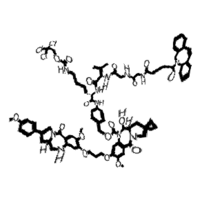 COc1ccc(C2=CN3C(=O)c4cc(OC)c(OCCCOc5cc6c(cc5OC)C(=O)N5CC7(CC7)C[C@H]5C(O)N6C(=O)OCc5ccc(NC(=O)[C@H](CCCCNC(=O)OCC(Cl)(Cl)Cl)NC(=O)[C@@H](NC(=O)CNC(=O)CNC(=O)CCC(=O)N6Cc7ccccc7C#Cc7ccccc76)C(C)C)cc5)cc4NC[C@@H]3C2)cc1